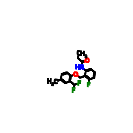 CCC(=O)Nc1cccc(F)c1COc1ccc(C)cc1C(F)F